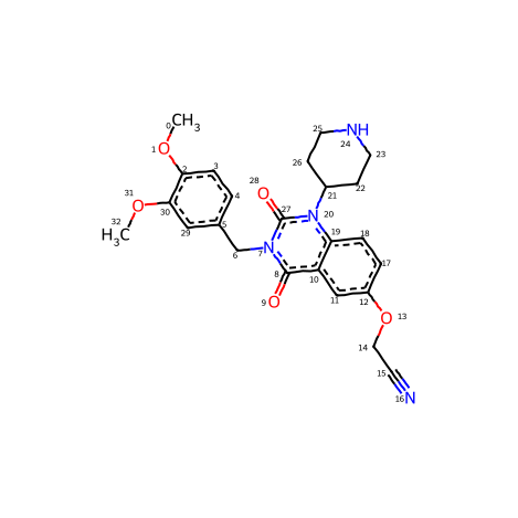 COc1ccc(Cn2c(=O)c3cc(OCC#N)ccc3n(C3CCNCC3)c2=O)cc1OC